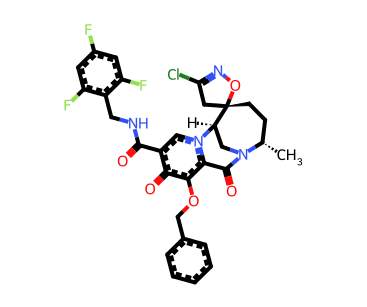 C[C@H]1CC[C@]2(CC(Cl)=NO2)[C@H]2CN1C(=O)c1c(OCc3ccccc3)c(=O)c(C(=O)NCc3c(F)cc(F)cc3F)cn12